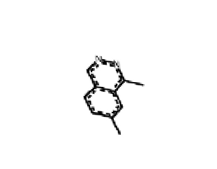 Cc1ccc2cnnc(C)c2c1